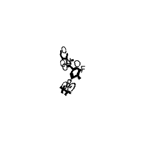 Cc1c(B2OC(C)(C)C(C)(C)O2)cc2c(c1F)OCN([C@H]1COCC[C@@H]1O)C2=O